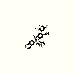 COc1cc(-c2cc(F)cnc2OC)c(C#N)cc1N(c1ccon1)S(=O)(=O)c1ccc2cnccc2c1